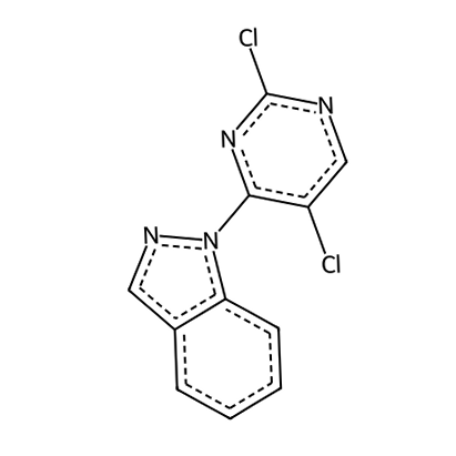 Clc1ncc(Cl)c(-n2ncc3ccccc32)n1